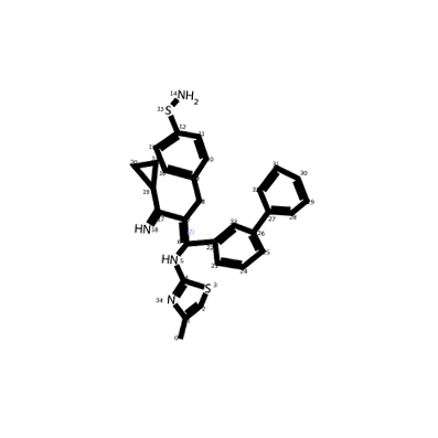 Cc1csc(N/C(=C(/Cc2ccc(SN)cc2)C(=N)C2CC2)c2cccc(-c3ccccc3)c2)n1